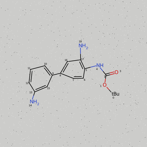 CC(C)(C)OC(=O)Nc1ccc(-c2cccc(N)c2)cc1N